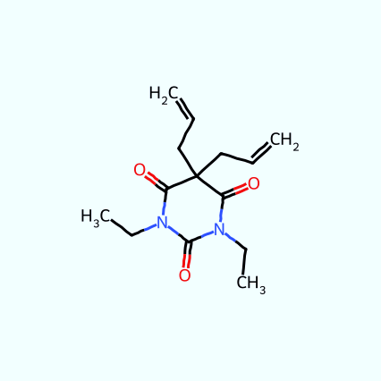 C=CCC1(CC=C)C(=O)N(CC)C(=O)N(CC)C1=O